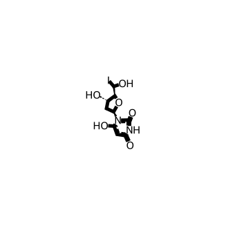 O=c1cc(O)n([C@H]2C[C@H](O)[C@@H](C(O)I)O2)c(=O)[nH]1